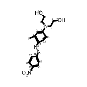 Cc1cc(N(CCO)CCO)ccc1/N=N/c1ccc([N+](=O)[O-])cc1